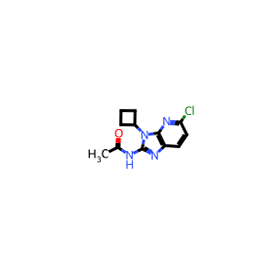 CC(=O)Nc1nc2ccc(Cl)nc2n1C1CCC1